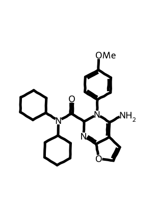 COc1ccc(N2C(N)=c3ccoc3=NC2C(=O)N(C2CCCCC2)C2CCCCC2)cc1